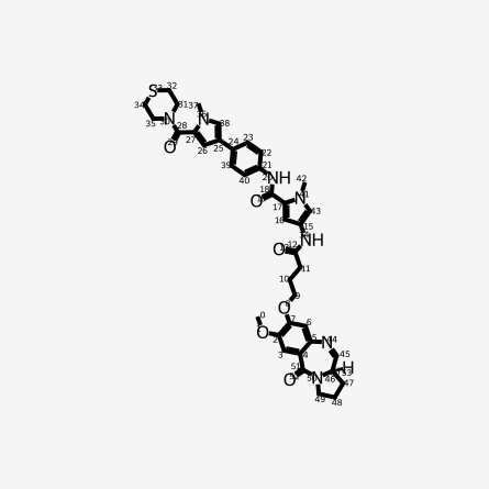 COc1cc2c(cc1OCCCC(=O)Nc1cc(C(=O)Nc3ccc(-c4cc(C(=O)N5CCSCC5)n(C)c4)cc3)n(C)c1)N=C[C@@H]1CCCN1C2=O